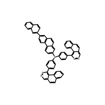 c1ccc2cc(-c3ccc4c(ccc5cc(N(c6ccc(-c7nncc8ccc9ccccc9c78)cc6)c6ccc(-c7nncc8ccc9ccccc9c78)cc6)ccc54)c3)ccc2c1